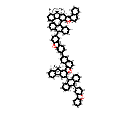 CC1(C)c2ccccc2-c2c1cc1c(oc3ccc4ccccc4c31)c2-c1c2ccccc2c(-c2ccc3oc4cc(-c5ccc6c(ccc7oc8c(-c9c%10ccccc%10c(-c%10ccc%11oc%12ccccc%12c%11c%10)c%10ccccc9%10)cc9c(c8c76)C(C)(C)c6ccccc6-9)c5)ccc4c3c2)c2ccccc12